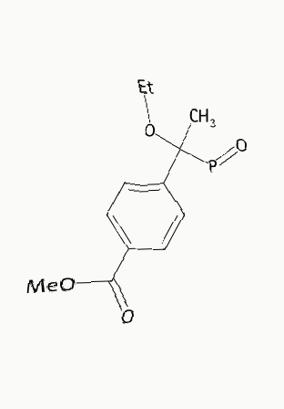 CCOC(C)(P=O)c1ccc(C(=O)OC)cc1